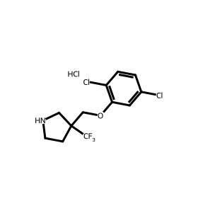 Cl.FC(F)(F)C1(COc2cc(Cl)ccc2Cl)CCNC1